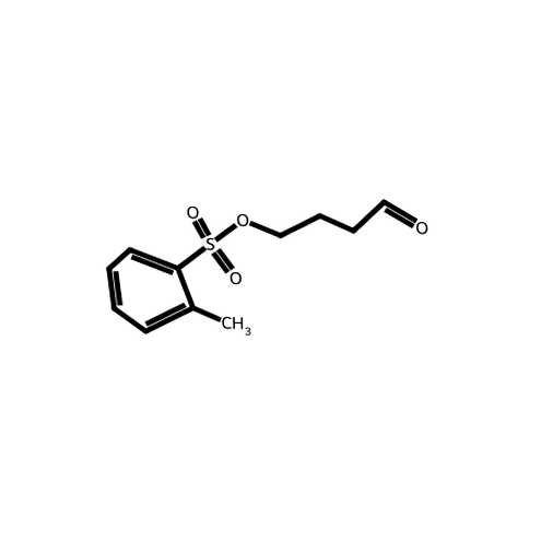 Cc1ccccc1S(=O)(=O)OCCCC=O